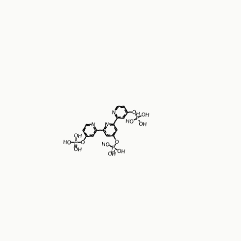 O[PH](O)(O)Oc1ccnc(-c2cc(O[PH](O)(O)O)cc(-c3cc(O[PH](O)(O)O)ccn3)n2)c1